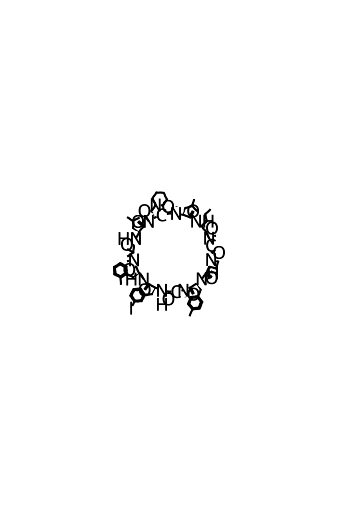 CC[C@H](C)[C@@H]1NC(=O)[C@H](CC(C)C)N(C)C(=O)C[C@@H](C(=O)N2CCCCC2)N(C)C(=O)[C@H](CC(C)C)NC(=O)C(C)(C)N(C)C(=O)[C@H](Cc2ccccc2C)NC(=O)[C@H](Cc2cccc(I)c2)NC(=O)CN(C)C(=O)[C@H](Cc2ccc(C)cc2)N(C)C(=O)[C@@H]2CCN2C(=O)CN(C)C1=O